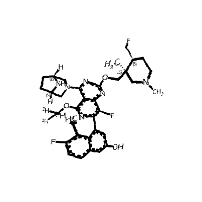 [2H]C([2H])([2H])Oc1nc(-c2cc(O)cc3ccc(F)c(C#C)c23)c(F)c2nc(OC[C@]3(C)CN(C)CC[C@@H]3CF)nc(N3C[C@H]4CC[C@@H](C3)N4)c12